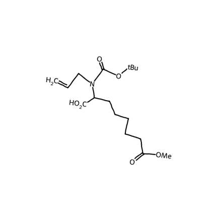 C=CCN(C(=O)OC(C)(C)C)C(CCCCCC(=O)OC)C(=O)O